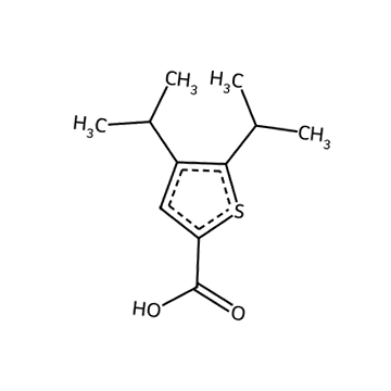 CC(C)c1cc(C(=O)O)sc1C(C)C